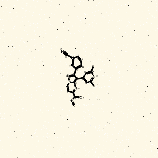 C=NC(=O)c1ccn2nc(-c3cccc(C#N)c3)c(-c3cc(C)nc(C)c3)c2n1